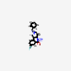 O=c1[nH]c2c(c3ccc(F)cc13)CN(Cc1ccccc1)CC2